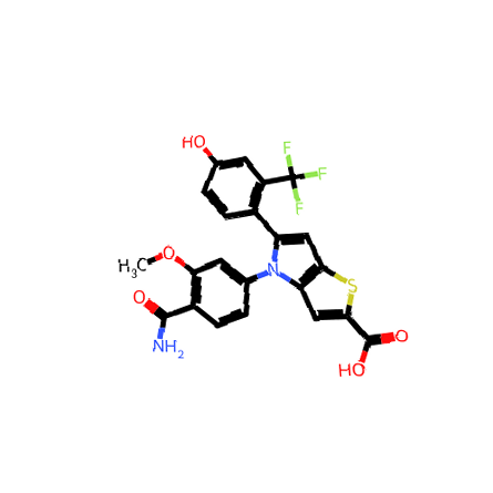 COc1cc(-n2c(-c3ccc(O)cc3C(F)(F)F)cc3sc(C(=O)O)cc32)ccc1C(N)=O